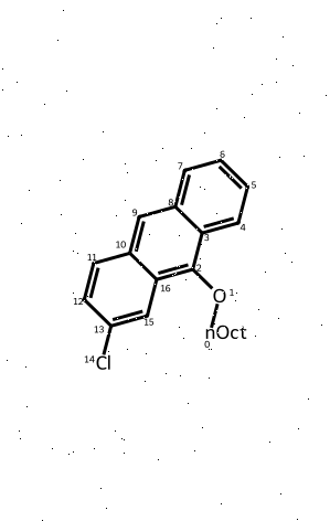 CCCCCCCCOc1c2ccccc2cc2ccc(Cl)cc12